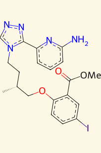 COC(=O)c1cc(I)ccc1OC[C@H](C)CCn1cnnc1-c1cccc(N)n1